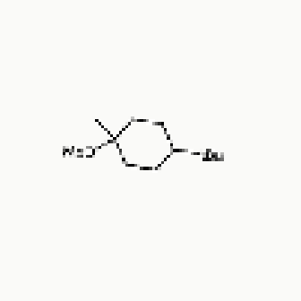 COC1(C)CCC(C(C)(C)C)CC1